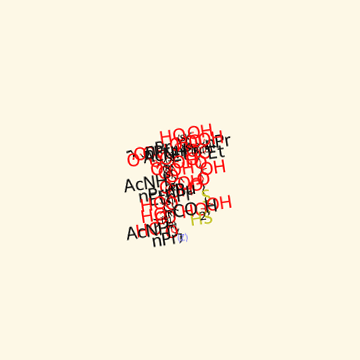 C=CC(=O)OCC(O)COC(=O)C1O[C@@H](C(CC)(CCC)C(CCC)(CCC)OC2C(NC(C)=O)[C@H](O[C@H]3C(C(=O)OCC(O)COC(=O)CCSCC(O)C(O)CS)O[C@@H](C(C)(CC)CCC)C(O)C3O)OC(CO)[C@H]2O)C(O)C(O)[C@H]1O[C@@H]1OC(CO)C2[C@@H](O)C2(OC(CCC)(CCCC)C(CC)(CCC)[C@@H]2OC(C(=O)O)[C@H](O[C@H](OC(C)CO)C(NC(C)=O)[C@@H](C)OC(C)(/C=C\C)CCC)C(O)C2O)C1NC(C)=O